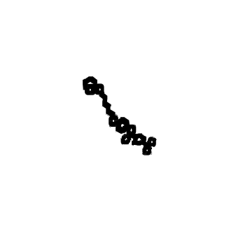 COC(=O)C1CCC(C(=O)Oc2ccc(OCCCCCCOC3CCCCO3)cc2)CC1